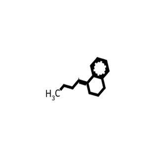 CCC[C]=C1CCCc2ccccc21